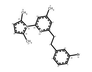 Cc1cc(CCc2cccc(Br)c2)nc(-n2c(C)ccc2C)c1